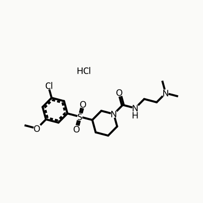 COc1cc(Cl)cc(S(=O)(=O)C2CCCN(C(=O)NCCN(C)C)C2)c1.Cl